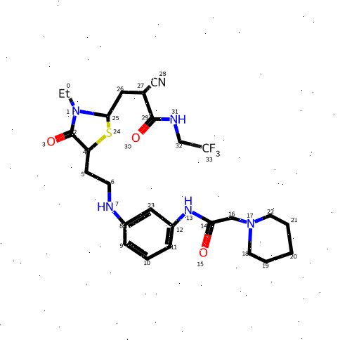 CCN1C(=O)C(CCNc2cccc(NC(=O)CN3CCCCC3)c2)SC1CC(C#N)C(=O)NCC(F)(F)F